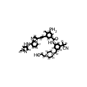 Cc1c(P)cc(C(=O)Nc2cc(CN3CCN(CCO)CC3)cc(C(C)(C)C#N)c2)cc1C#Cc1cnc2c(Nc3cnn(C)c3)cccn12